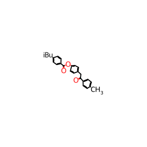 CCC(C)c1ccc(C(=O)Oc2ccc(CC(=O)c3ccc(C)cc3)cc2)cc1